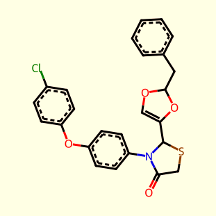 O=C1CSC(C2=COC(Cc3ccccc3)O2)N1c1ccc(Oc2ccc(Cl)cc2)cc1